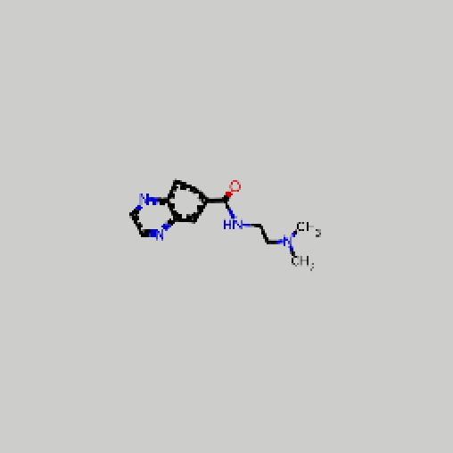 CN(C)CCNC(=O)c1ccc2nccnc2c1